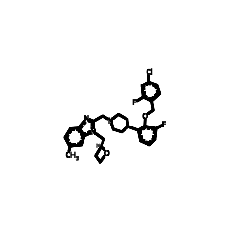 Cc1ccc2nc(CN3CCC(c4cccc(F)c4OCc4ccc(Cl)cc4F)CC3)n(C[C@@H]3CCO3)c2c1